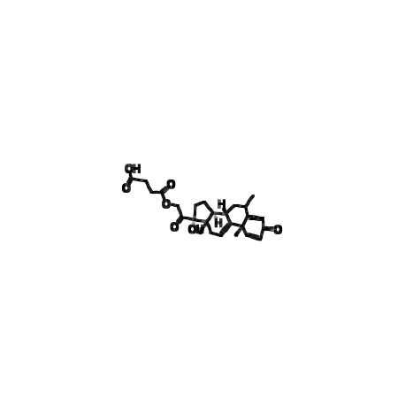 CC1C[C@@H]2C(=CC[C@@]3(C)[C@H]2CC[C@]3(O)C(=O)COC(=O)CCC(=O)O)[C@@]2(C)C=CC(=O)C=C12